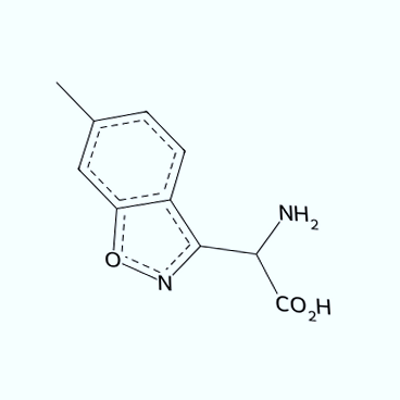 Cc1ccc2c(C(N)C(=O)O)noc2c1